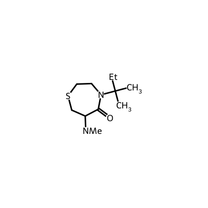 CCC(C)(C)N1CCSCC(NC)C1=O